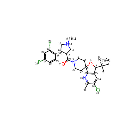 CC(=O)NC(C)(C)C1OC2(CCN(C(=O)C3CN(C(C)(C)C)C[C@H]3c3ccc(F)cc3F)CC2)c2nc(C)c(Cl)cc21